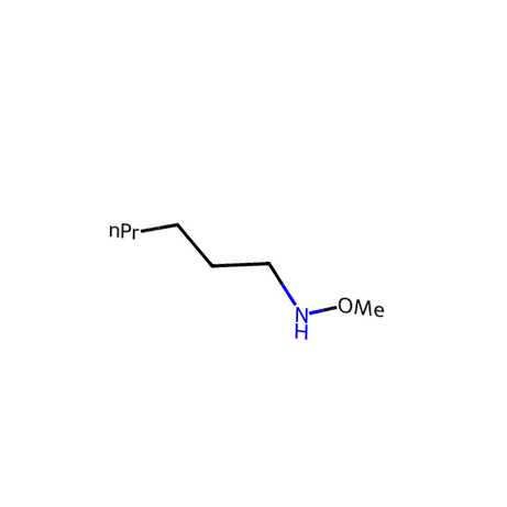 CCCCCCNOC